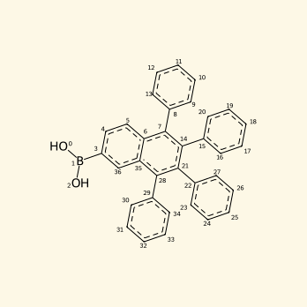 OB(O)c1ccc2c(-c3ccccc3)c(-c3ccccc3)c(-c3ccccc3)c(-c3ccccc3)c2c1